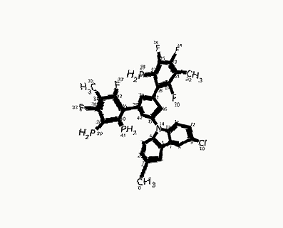 Cc1ccc2c(c1)c1cc(Cl)ccc1n2-c1cc(-c2c(F)c(C)c(F)c(F)c2P)cc(-c2c(F)c(C)c(F)c(P)c2P)c1